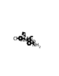 CCc1nc(N[C@H](CN2CCC2)c2ccc(Cl)cc2)c2cccc(C(N)=O)c2n1